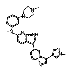 CN1CCN(c2cccc(Nc3ccc4c(-c5ccn6ncc(-c7cnn(C)c7)c6c5)c[nH]c4n3)c2)CC1